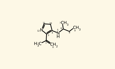 C=C(C)C1=C(NC(C)CC)CC=N1